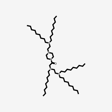 CCCCCCCCCN(CCCCCCCCC)CCN1CCN(C(=O)CN(CCCCCCCCC)CCN(CCCCCCCCC)CCCCCCCCC)CC1